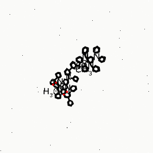 C[Si]1(c2cccc(-c3cccc(N(c4ccccc4)c4cc5c6c(c4)N(c4ccccc4-c4cc(-c7ccccc7)ccn4)c4cccc7c4B6c4c(cccc4[Si]7(C)c4ccccc4)N5c4ccccc4-c4ccccn4)c3)c2)c2cccc3c2B2c4c(cc(N(c5ccccc5)c5ccccc5)cc4N(c4ccccc4)c4cccc1c42)N3c1ccccc1